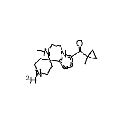 [2H]N1CCC2(CC1)c1ccc(C(=O)C3(C)CC3)n1CCN2C